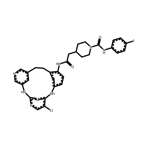 O=C(CC1CCN(C(=O)Nc2ccc(F)cc2)CC1)Nc1ccc2cc1CCc1cncc(c1)Nc1ncc(Cl)c(n1)N2